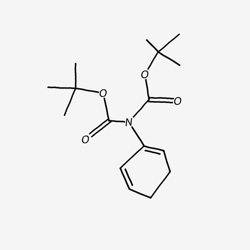 CC(C)(C)OC(=O)N(C(=O)OC(C)(C)C)C1=CCCC=C1